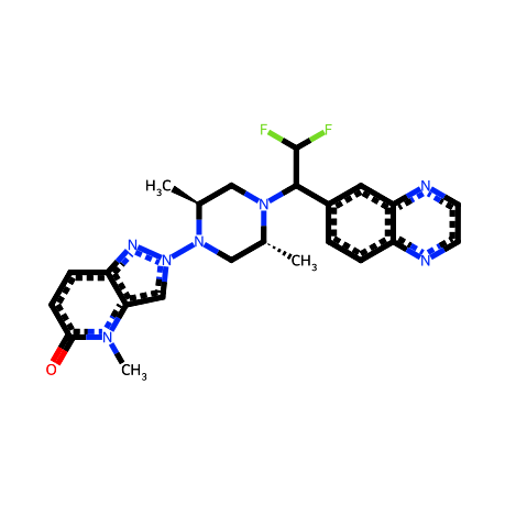 C[C@@H]1CN(n2cc3c(ccc(=O)n3C)n2)[C@@H](C)CN1C(c1ccc2nccnc2c1)C(F)F